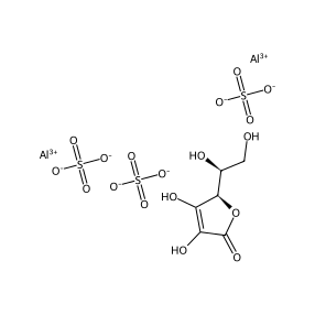 O=C1O[C@H]([C@@H](O)CO)C(O)=C1O.O=S(=O)([O-])[O-].O=S(=O)([O-])[O-].O=S(=O)([O-])[O-].[Al+3].[Al+3]